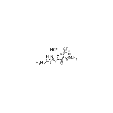 Cl.NCCCC(N)CNC(=O)c1cc(C(F)(F)F)cc(C(F)(F)F)c1